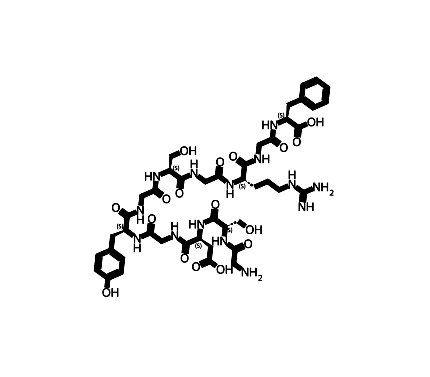 N=C(N)NCCC[C@H](NC(=O)CNC(=O)[C@H](CO)NC(=O)CNC(=O)[C@H](Cc1ccc(O)cc1)NC(=O)CNC(=O)[C@H](CC(=O)O)NC(=O)[C@H](CO)NC(=O)CN)C(=O)NCC(=O)N[C@@H](Cc1ccccc1)C(=O)O